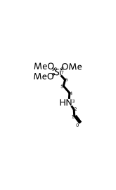 C=CCNCCC[Si](OC)(OC)OC